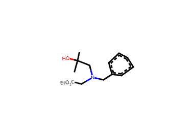 CCOC(=O)CN(Cc1ccccc1)CC(C)(C)O